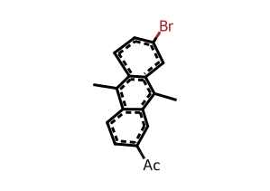 CC(=O)c1ccc2c(C)c3ccc(Br)cc3c(C)c2c1